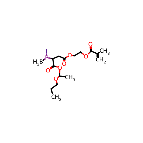 BP(I)C(CC(=O)OCCOC(=O)C(=C)C)C(=O)OC(C)OCCC